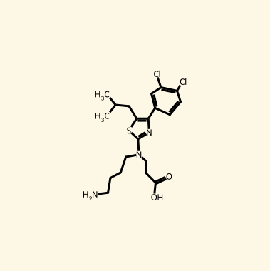 CC(C)Cc1sc(N(CCCCN)CCC(=O)O)nc1-c1ccc(Cl)c(Cl)c1